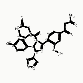 CC(C)(C)Oc1cc(C(=O)CC(N)=O)ccc1C1=N[C@@H](c2cnoc2)[C@@H](c2ccc(Cl)cc2)N1C(=O)N1CCNC(=O)C1